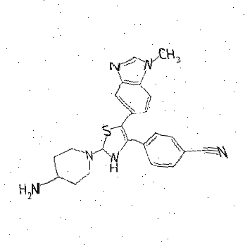 Cn1cnc2cc(C3=C(c4ccc(C#N)cc4)NC(N4CCC(N)CC4)S3)ccc21